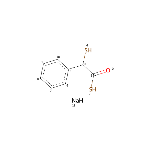 O=C(S)C(S)c1ccccc1.[NaH]